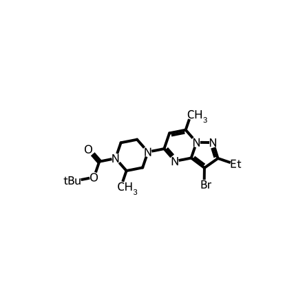 CCc1nn2c(C)cc(N3CCN(C(=O)OC(C)(C)C)C(C)C3)nc2c1Br